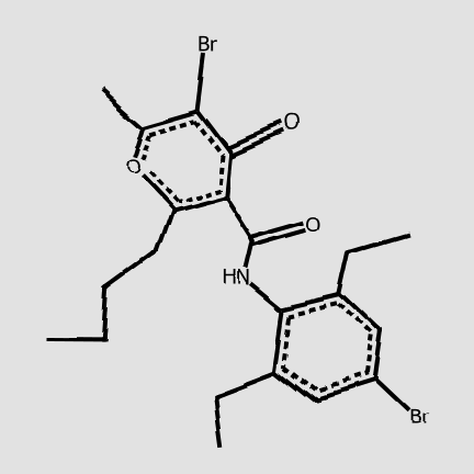 CCCCc1oc(C)c(Br)c(=O)c1C(=O)Nc1c(CC)cc(Br)cc1CC